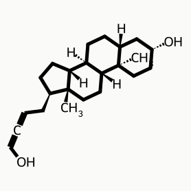 C[C@@]12CC[C@@H](O)C[C@H]1CC[C@H]1[C@H]2CC[C@]2(C)[C@@H](CC=C=CO)CC[C@H]12